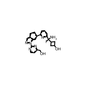 NC(I)(c1cccc(-c2ccc3cnn(-c4nccc(CO)n4)c3c2)n1)C1CC(O)C1